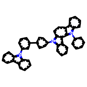 c1ccc(-n2c3ccccc3c3ccc4c(c5ccccc5n4-c4ccc(-c5cccc(-n6c7ccccc7c7ccccc76)c5)cc4)c32)cc1